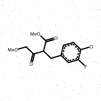 COCC(=O)C(Cc1ccc(Cl)c(F)c1)C(=O)OC